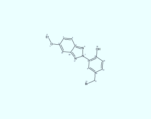 CCOc1ccc2nn(-c3cc(CBr)ccc3O)nc2c1